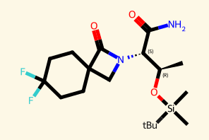 C[C@@H](O[Si](C)(C)C(C)(C)C)[C@@H](C(N)=O)N1CC2(CCC(F)(F)CC2)C1=O